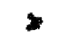 CC(C)c1cccc2c1[C@H]1c3ccccc3[C@H]2[C@@H](OC(=O)c2ccccc2)[C@H]1OC(=O)c1ccccc1